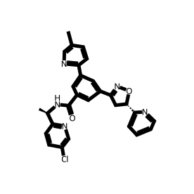 Cc1ccc(-c2cc(C(=O)N[C@H](C)c3ccc(Cl)cn3)cc(C3=NO[C@H](c4ccccn4)C3)c2)nc1